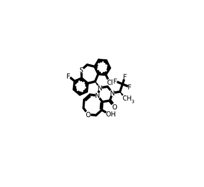 C[C@@H](N1CN([C@H]2c3cccc(F)c3SCc3cccc(Cl)c32)N2/C=C\COC/C(O)=C\2C1=O)C(F)(F)F